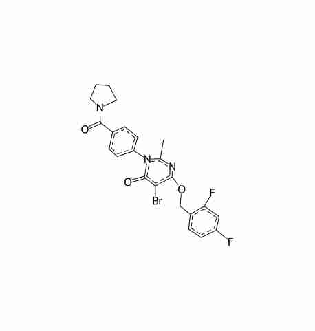 Cc1nc(OCc2ccc(F)cc2F)c(Br)c(=O)n1-c1ccc(C(=O)N2CCCC2)cc1